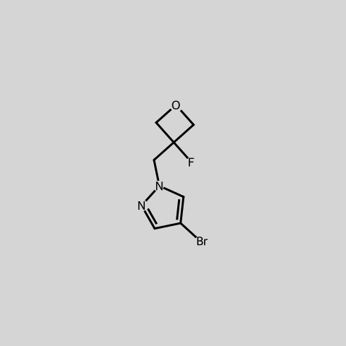 FC1(Cn2cc(Br)cn2)COC1